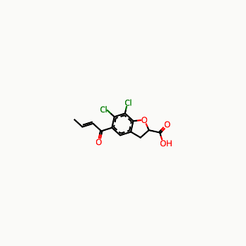 C/C=C/C(=O)c1cc2c(c(Cl)c1Cl)OC(C(=O)O)C2